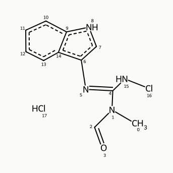 CN(C=O)C(=Nc1c[nH]c2ccccc12)NCl.Cl